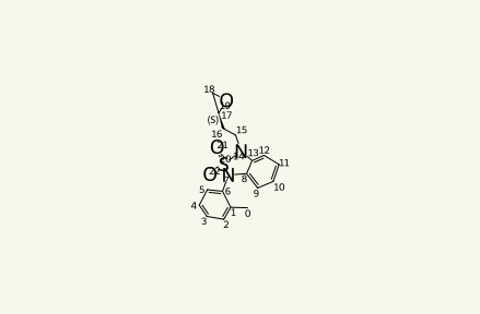 Cc1ccccc1N1c2ccccc2N(CC[C@H]2CO2)S1(=O)=O